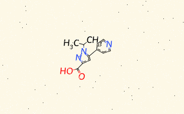 CC(C)n1nc(C(=O)O)cc1-c1ccncc1